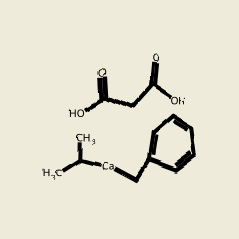 C[CH](C)[Ca][CH2]c1ccccc1.O=C(O)CC(=O)O